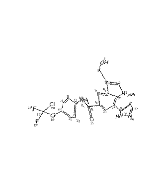 CC(C)n1cc(CO)c2cc(C(=O)Nc3ccc(OC(F)(F)Cl)cc3)cc(-c3ccn[nH]3)c21